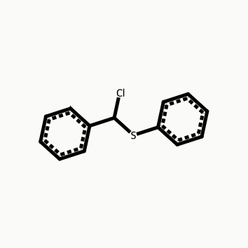 ClC(Sc1ccccc1)c1[c]cccc1